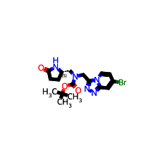 CC(C)(C)OC(=O)N(Cc1nnc2cc(Br)ccn12)C[C@@H]1CCC(=O)N1